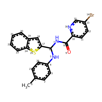 Cc1ccc(NC(NC(=O)c2ccc(Br)cn2)c2cc3ccccc3s2)cc1